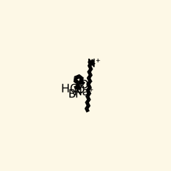 CCCCCCCCCCCCCCCC[N+](C)(C)C.O=C(O)c1ccccc1[O-].[Br-].[Na+]